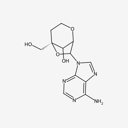 Nc1ncnc2c1ncn2C1O[C@@]2(CO)CCOC1C2O